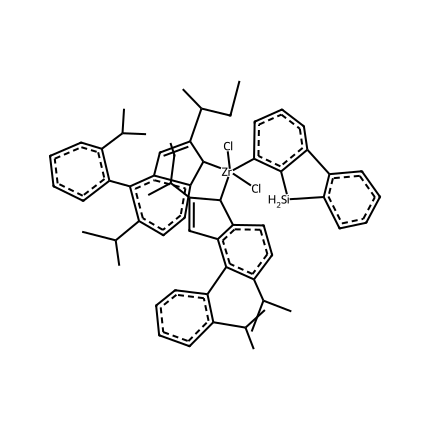 CCC(C)C1=Cc2c(ccc(C(C)C)c2-c2ccccc2C(C)C)[CH]1[Zr]([Cl])([Cl])([c]1cccc2c1[SiH2]c1ccccc1-2)[CH]1C(C(C)CC)=Cc2c1ccc(C(C)C)c2-c1ccccc1C(C)C